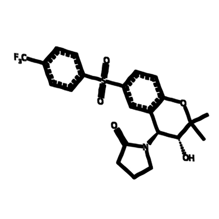 CC1(C)Oc2ccc(S(=O)(=O)c3ccc(C(F)(F)F)cc3)cc2[C@H](N2CCCC2=O)[C@H]1O